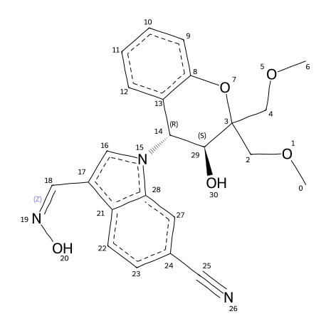 COCC1(COC)Oc2ccccc2[C@@H](n2cc(/C=N\O)c3ccc(C#N)cc32)[C@@H]1O